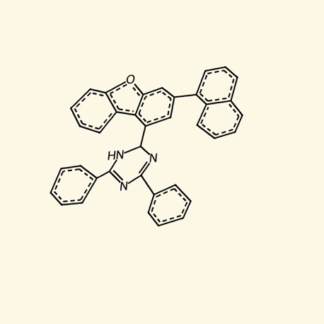 c1ccc(C2=NC(c3cc(-c4cccc5ccccc45)cc4oc5ccccc5c34)NC(c3ccccc3)=N2)cc1